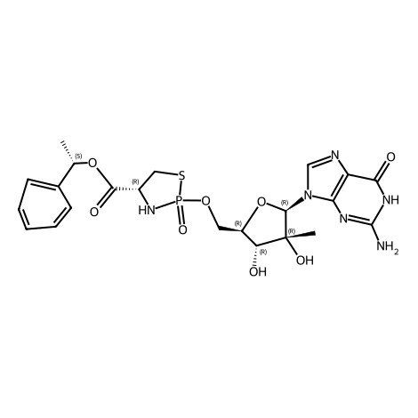 C[C@H](OC(=O)[C@@H]1CSP(=O)(OC[C@H]2O[C@@H](n3cnc4c(=O)[nH]c(N)nc43)[C@](C)(O)[C@@H]2O)N1)c1ccccc1